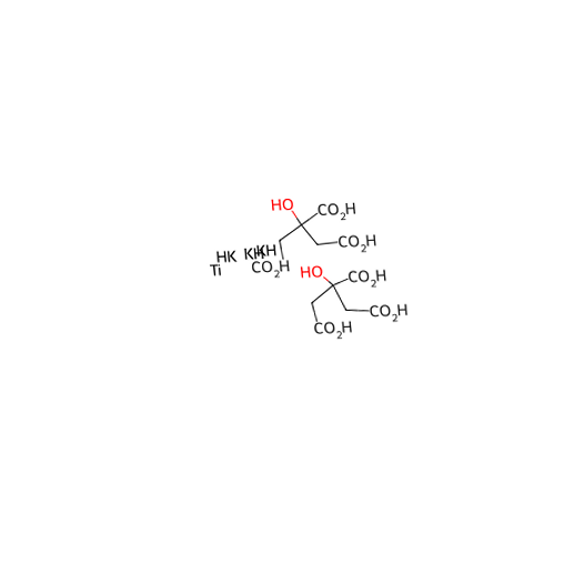 O=C(O)CC(O)(CC(=O)O)C(=O)O.O=C(O)CC(O)(CC(=O)O)C(=O)O.[KH].[KH].[KH].[Ti]